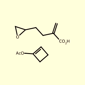 C=C(CCC1CO1)C(=O)O.CC(=O)OC1=CCC1